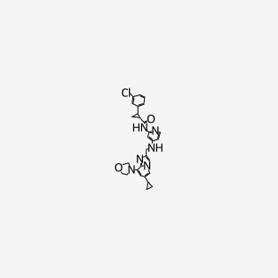 O=C(Nc1cc(NCc2cn3cc(C4CC4)cc(N4CCOCC4)c3n2)ccn1)C1CC1c1cccc(Cl)c1